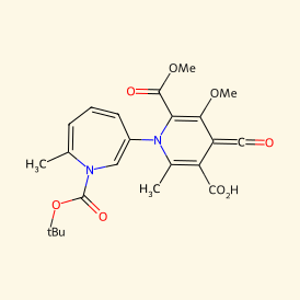 COC(=O)C1=C(OC)C(=C=O)C(C(=O)O)=C(C)N1C1=CN(C(=O)OC(C)(C)C)C(C)=CC=C1